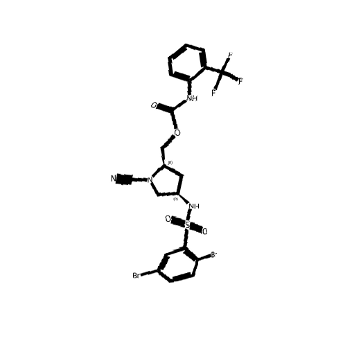 N#CN1C[C@H](NS(=O)(=O)c2cc(Br)ccc2Br)C[C@@H]1COC(=O)Nc1ccccc1C(F)(F)F